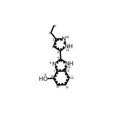 CCc1cc(-c2nc3c(O)cccc3[nH]2)[nH]n1